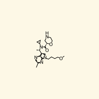 COCCCCn1cc([C@@H](C)N(C(=O)[C@H]2CNCCO2)C2CC2)c2ncc(C)nc21